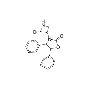 O=C1NCC1N1C(=O)OC(c2ccccc2)C1c1ccccc1